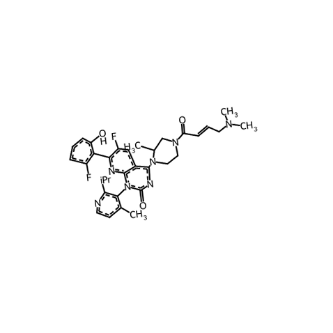 Cc1ccnc(C(C)C)c1-n1c(=O)nc(N2CCN(C(=O)/C=C/CN(C)C)CC2C)c2cc(F)c(-c3c(O)cccc3F)nc21